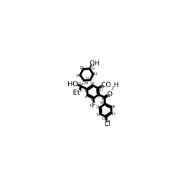 CCC(O)(c1cc(F)c(C(=O)c2ccc(Cl)cc2)c(C(=O)O)c1)[C@H]1CC[C@H](O)CC1